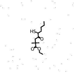 CCCCC(S)C(=O)CC(C)(C)C(=O)OCC